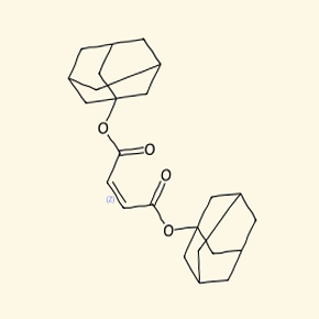 O=C(/C=C\C(=O)OC12CC3CC(CC(C3)C1)C2)OC12CC3CC(CC(C3)C1)C2